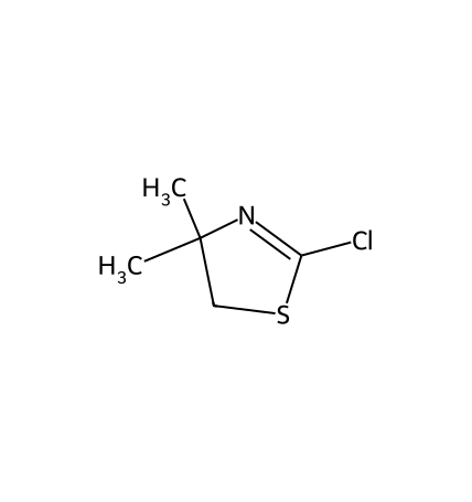 CC1(C)CSC(Cl)=N1